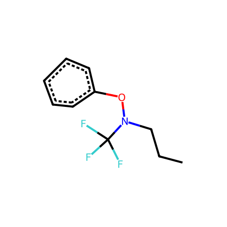 CCCN(Oc1ccccc1)C(F)(F)F